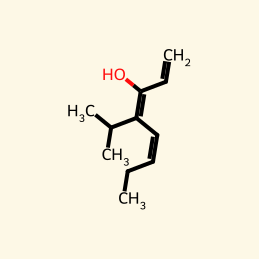 C=C/C(O)=C(\C=C/CC)C(C)C